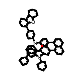 c1ccc(-c2ccc(N(c3ccc(-c4cccc5c4oc4ccccc45)cc3)c3ccc(-c4cccc5cccc(-c6ccc7c8ccccc8n(-c8ccccc8)c7c6)c45)cc3)cc2)cc1